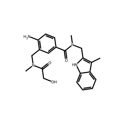 Cc1c(CN(C)C(=O)c2ccc(N)c(CN(C)C(=O)CO)c2)[nH]c2ccccc12